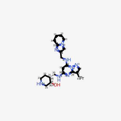 CC(C)c1cnn2c(NCc3cn4ccccc4n3)cc(NC[C@H]3CCNC[C@@H]3O)nc12